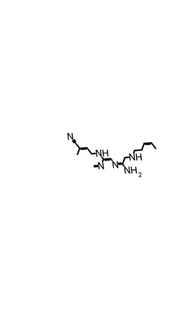 C=N/C(=C\N=C(\N)CNCC/C=C\C)NC/C=C(\C)C#N